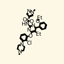 CCOc1ccccc1-c1nc(NS(=O)(=O)c2cnn(C)c2)nc(Oc2cccc(N3CCN(C)CC3)c2Cl)c1CC